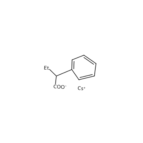 CCC(C(=O)[O-])c1ccccc1.[Cs+]